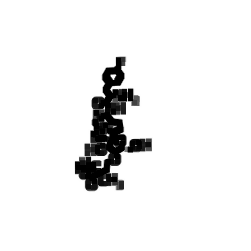 CC(C)(CCO[C@H]1[C@@H](O)[C@](C#N)(c2ccc3c(NC(=O)C(N)Cc4ccc(F)cc4)ncnn23)O[C@@H]1CO)C(=O)O